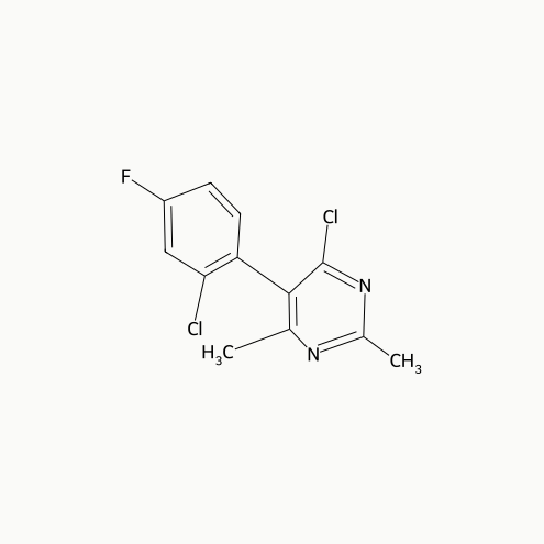 Cc1nc(C)c(-c2ccc(F)cc2Cl)c(Cl)n1